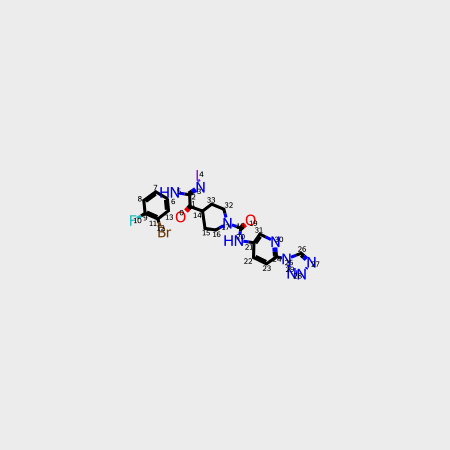 O=C(/C(=N/I)Nc1ccc(F)c(Br)c1)C1CCN(C(=O)Nc2ccc(-n3cnnn3)nc2)CC1